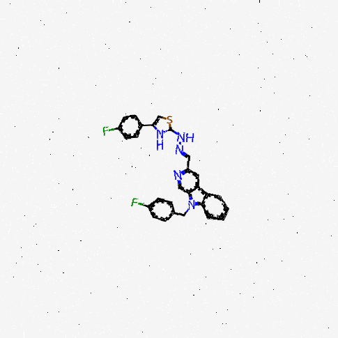 Fc1ccc(Cn2c3ccccc3c3cc(/C=N/NC4NC(c5ccc(F)cc5)=CS4)ncc32)cc1